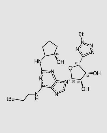 CCn1nnc([C@H]2O[C@@H](n3cnc4c(NCCC(C)(C)C)nc(NC5CCC[C@H]5O)nc43)[C@H](O)[C@@H]2O)n1